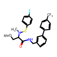 COCC(C(=O)NCc1cccc(-c2ccc(C(F)(F)F)cc2)c1)N(C)Sc1ccc(F)cc1